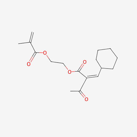 C=C(C)C(=O)OCCOC(=O)C(=CC1CCCCC1)C(C)=O